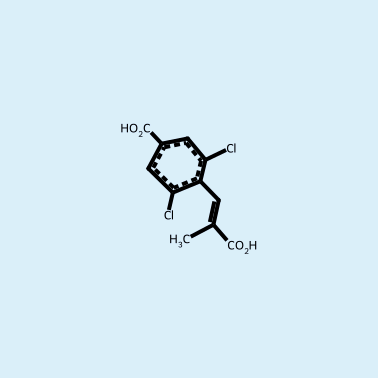 CC(=Cc1c(Cl)cc(C(=O)O)cc1Cl)C(=O)O